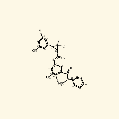 CN(C(=O)c1cc(NC(=O)C2C(c3cc(Cl)cc(Cl)c3)C2(Cl)Cl)cc(Cl)c1Cl)c1ccccc1